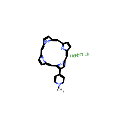 CN1C=CC(c2cc3cc4nc(cc5ccc(cc6nc(cc2[nH]3)C=C6)[nH]5)C=C4)=CC1.Cl.Cl.Cl.Cl